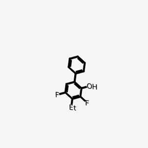 CCc1c(F)cc(-c2ccccc2)c(O)c1F